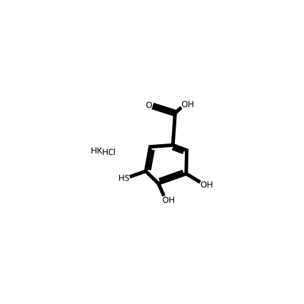 Cl.O=C(O)c1cc(O)c(O)c(S)c1.[KH]